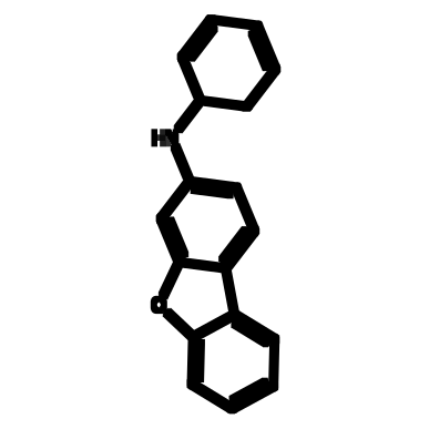 C1=CCC(Nc2ccc3c(c2)oc2ccccc23)C=C1